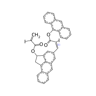 C=C(I)C(=O)OC1Cc2c3ccccc3cc3cc(/C=C(/I)C(=O)Oc4c5ccccc5cc5ccccc45)cc1c23